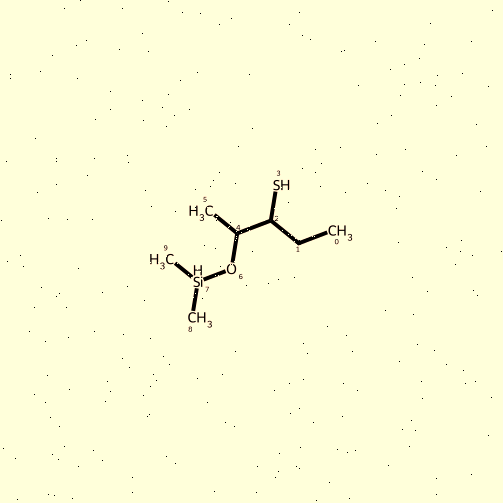 CCC(S)C(C)O[SiH](C)C